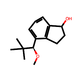 CO[C@H](c1cccc2c1CCC2O)C(C)(C)C